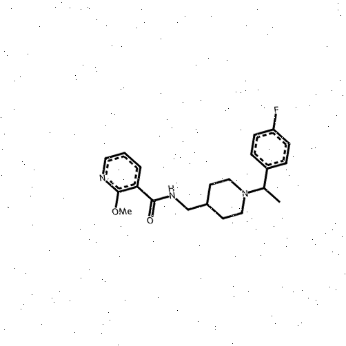 COc1ncccc1C(=O)NCC1CCN(C(C)c2ccc(F)cc2)CC1